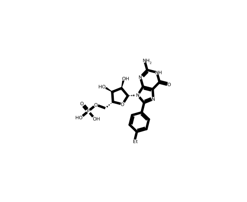 CCc1ccc(-c2nc3c(=O)[nH]c(N)nc3n2[C@@H]2O[C@H](COP(=O)(O)O)[C@@H](O)[C@H]2O)cc1